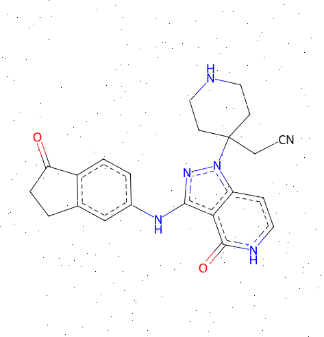 N#CCC1(n2nc(Nc3ccc4c(c3)CCC4=O)c3c(=O)[nH]ccc32)CCNCC1